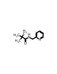 CC(C)(C)C(=O)NCc1ccccn1